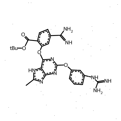 Cc1nc2nc(Oc3cccc(NC(=N)N)c3)nc(Oc3cc(C(=N)N)ccc3C(=O)OC(C)(C)C)c2[nH]1